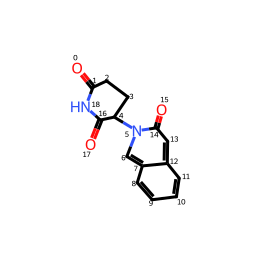 O=C1CCC(n2cc3ccccc3cc2=O)C(=O)N1